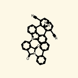 N#Cc1ccncc1-c1cccc2c1c1c(-c3cnccc3C#N)cccc1n2-c1cccc2c1C(=O)N(c1ccccc1-c1ccccc1)C2=O